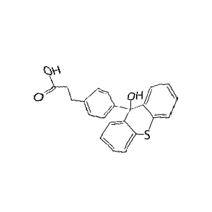 O=C(O)CCc1ccc(C2(O)c3ccccc3Sc3ccccc32)cc1